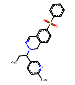 COCC(c1ccc(OC)nc1)N1Cc2ccc(S(=O)(=O)c3ccccc3)cc2C=N1